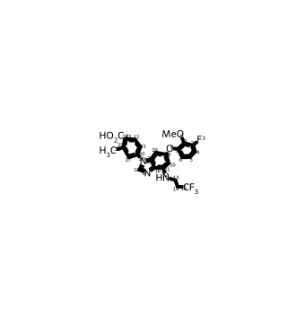 COc1c(F)cccc1Oc1cc(NCCC(F)(F)F)c2ncn(-c3ccc(C(=O)O)c(C)c3)c2c1